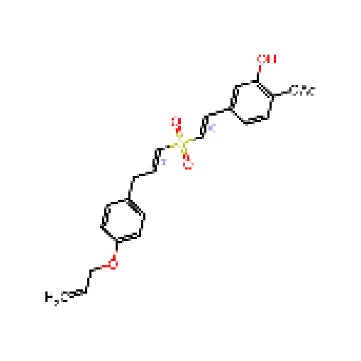 C=CCOc1ccc(C/C=C/S(=O)(=O)/C=C/c2ccc(OC(C)=O)c(O)c2)cc1